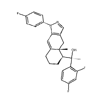 C[C@]12Cc3cnn(-c4ccc(F)cc4)c3C=C1CCC[C@@H]2[C@@](C)(O)c1ccc(F)cc1F